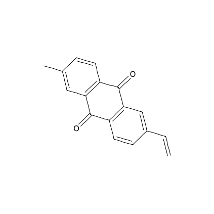 C=Cc1ccc2c(c1)C(=O)c1ccc(C)cc1C2=O